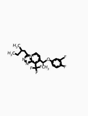 CCC(C)Cc1nnc2c(C(F)(F)F)c([C@H](C)Oc3ccc(F)c(F)c3)ccn12